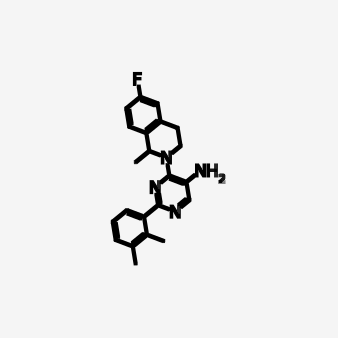 Cc1cccc(-c2ncc(N)c(N3CCc4cc(F)ccc4C3C)n2)c1C